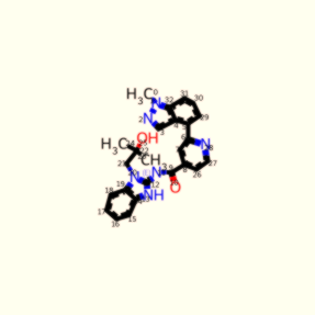 Cn1ncc2c(-c3cc(C(=O)/N=c4\[nH]c5ccccc5n4CC(C)(C)O)ccn3)cccc21